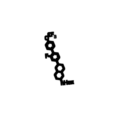 CCCCCCC1CCC2CC(c3ccc(-c4ccc(OC(F)(F)F)cc4)c(F)c3)CCC2C1